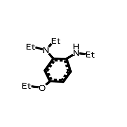 CCNc1ccc(OCC)cc1N(CC)CC